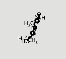 CC(c1ccc2[nH]c(=O)sc2c1)c1ccn(-c2ccc(CCC(C)(C)O)cn2)n1